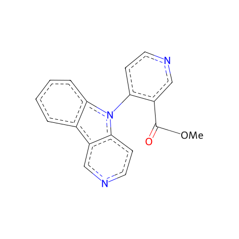 COC(=O)c1cnccc1-n1c2ccccc2c2cnccc21